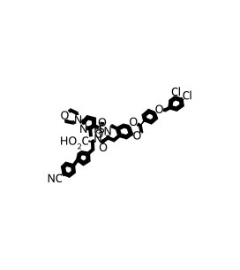 Cc1nc(N2CCOCC2)ccc1S(=O)(=O)N1Cc2cc3c(cc2CC1C(=O)N[C@@H](Cc1ccc(-c2ccc(C#N)cc2)cc1)C(=O)O)OC[C@H](c1ccc(OCc2ccc(Cl)c(Cl)c2)cc1)O3